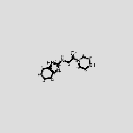 O=C(CNc1nc2c([nH]1)CCCC2)N1CCNCC1